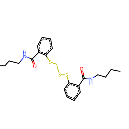 CCCCNC(=O)c1ccccc1SSSSc1ccccc1C(=O)NCCCC